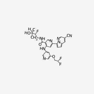 CC(C)(O)C(F)CNC(=O)c1cnc(-c2ccc3cc(C#N)cnn23)cc1Nc1cncc(OCC(F)F)c1